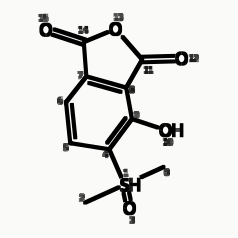 C[SH](C)(=O)c1ccc2c(c1O)C(=O)OC2=O